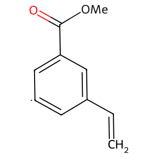 C=Cc1c[c]cc(C(=O)OC)c1